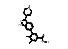 CCNC(=O)c1cc(C)c(C)c(-c2ccc3c(C4=CCNCC4)n[nH]c3c2)c1